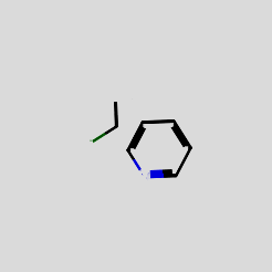 CCCCCCl.c1ccncc1